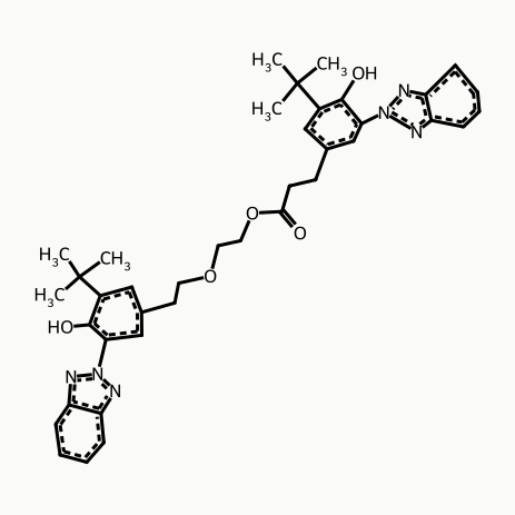 CC(C)(C)c1cc(CCOCCOC(=O)CCc2cc(-n3nc4ccccc4n3)c(O)c(C(C)(C)C)c2)cc(-n2nc3ccccc3n2)c1O